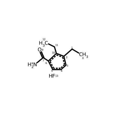 CCc1cccc(C(N)=O)c1CC.F